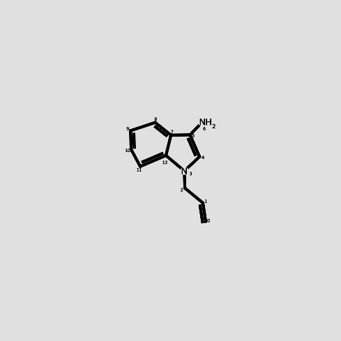 C=CCn1cc(N)c2ccccc21